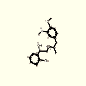 COc1ccc(CC(C)NC[C@H](O)c2ccccc2Cl)cc1OC